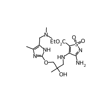 CCOC(=O)C1=C(NCC(C)(O)COc2nc(C)c(CN(C)C)[nH]2)C(N)=NS1(=O)=O